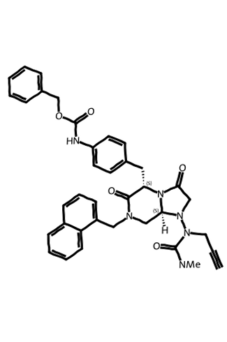 C#CCN(C(=O)NC)N1CC(=O)N2[C@@H](Cc3ccc(NC(=O)OCc4ccccc4)cc3)C(=O)N(Cc3cccc4ccccc34)C[C@@H]21